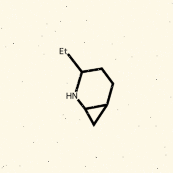 CCC1CCC2CC2N1